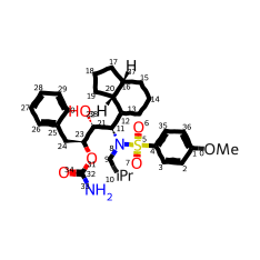 COc1ccc(S(=O)(=O)N(CC(C)C)[C@@H](C2CCC[C@H]3CCC[C@@H]23)[C@@H](O)[C@H](Cc2ccccc2)OC(N)=O)cc1